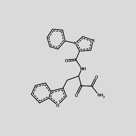 NC(=O)C(=O)C(Cc1coc2ccccc12)NC(=O)c1cncn1-c1ccccc1